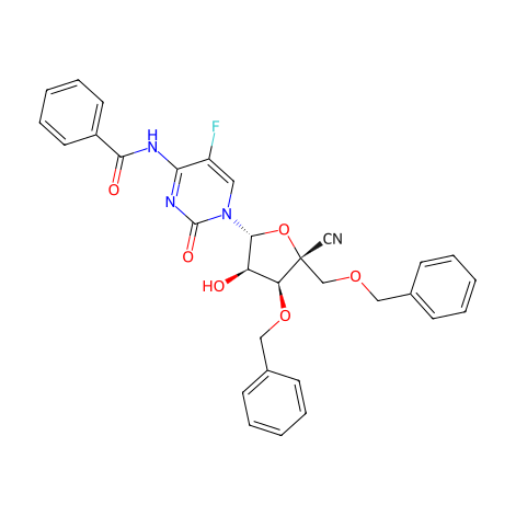 N#C[C@]1(COCc2ccccc2)O[C@@H](n2cc(F)c(NC(=O)c3ccccc3)nc2=O)[C@H](O)[C@@H]1OCc1ccccc1